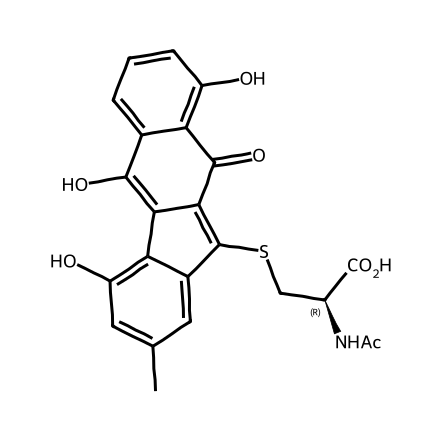 CC(=O)N[C@@H](CSC1=C2C(=O)c3c(O)cccc3C(O)=C2c2c(O)cc(C)cc21)C(=O)O